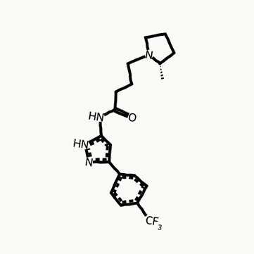 C[C@H]1CCCN1CCCC(=O)Nc1cc(-c2ccc(C(F)(F)F)cc2)n[nH]1